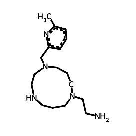 Cc1cccc(CN2CCCN(CCN)CCCNCC2)n1